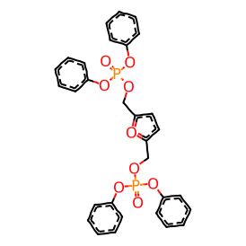 O=P(OCc1ccc(COP(=O)(Oc2ccccc2)Oc2ccccc2)o1)(Oc1ccccc1)Oc1ccccc1